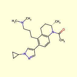 CC(=O)N1c2ccc(-c3cnn(C4CC4)c3)c(CCCN(C)C)c2CC[C@@H]1C